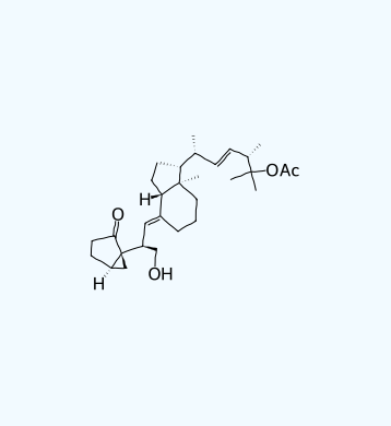 CC(=O)OC(C)(C)[C@@H](C)/C=C/[C@@H](C)[C@H]1CC[C@H]2/C(=C/[C@@H](CO)[C@]34C[C@H]3CCC4=O)CCC[C@]12C